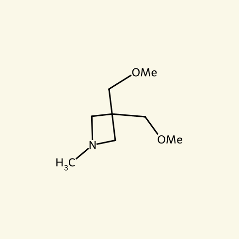 COCC1(COC)CN(C)C1